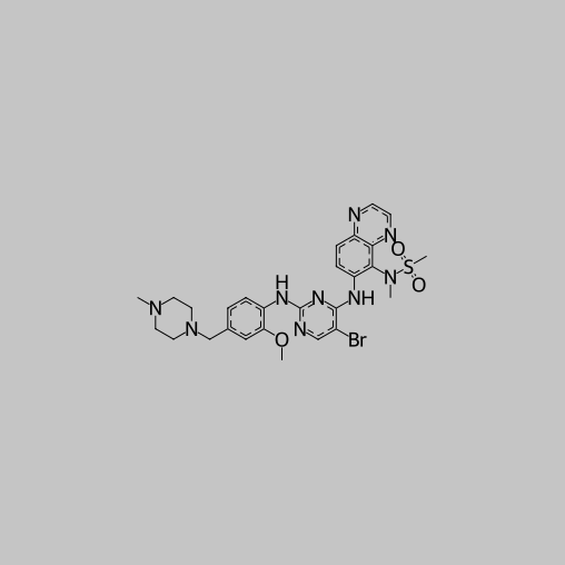 COc1cc(CN2CCN(C)CC2)ccc1Nc1ncc(Br)c(Nc2ccc3nccnc3c2N(C)S(C)(=O)=O)n1